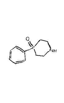 O=P1(c2ccccc2)CCNCC1